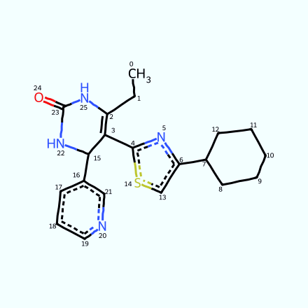 CCC1=C(c2nc(C3CCCCC3)cs2)C(c2cccnc2)NC(=O)N1